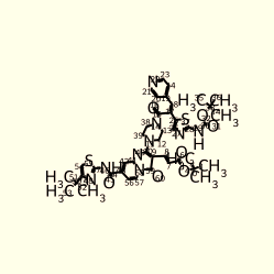 CC(C)(C)OC(=O)C=Cc1c(N2CCN(C(=O)C(=Cc3ccncc3)c3cnc(NC(=O)OC(C)(C)C)s3)CC2)nc2cc(C(=O)Nc3nc(C(C)(C)C)cs3)ccn2c1=O